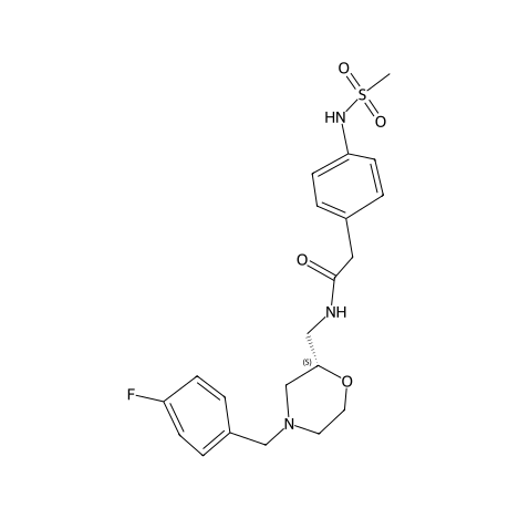 CS(=O)(=O)Nc1ccc(CC(=O)NC[C@H]2CN(Cc3ccc(F)cc3)CCO2)cc1